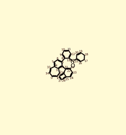 C1=CCc2c(ccc3c4ccccc4n(C4=CCCC=C4)oc4ccc5ccccc5c4c23)C=C1